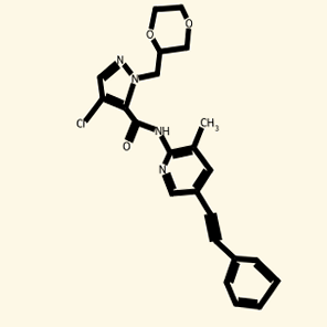 Cc1cc(C#Cc2ccccc2)cnc1NC(=O)c1c(Cl)cnn1CC1COCCO1